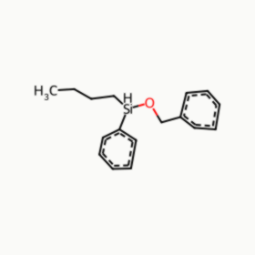 CCCC[SiH](OCc1ccccc1)c1ccccc1